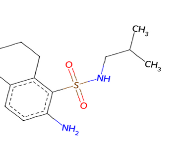 CC(C)CNS(=O)(=O)c1c(N)ccc2c1CCCC2